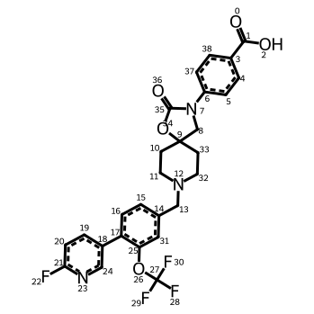 O=C(O)c1ccc(N2CC3(CCN(Cc4ccc(-c5ccc(F)nc5)c(OC(F)(F)F)c4)CC3)OC2=O)cc1